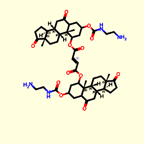 C[C@]12C(OC(=O)/C=C/C(=O)OC3CC(OC(=O)NCCN)CC4C(=O)C[C@@H]5[C@@H](CC[C@]6(C)C(=O)CC[C@@H]56)[C@@]34C)CC(OC(=O)NCCN)CC1C(=O)C[C@@H]1[C@H]2CC[C@]2(C)C(=O)CC[C@@H]12